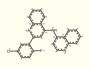 Fc1ccc(Cl)cc1-c1cc(Nc2ccnc3ccccc23)c2ccccc2n1